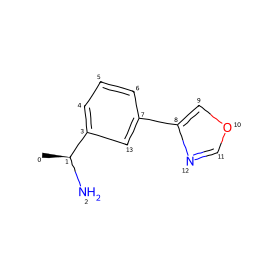 C[C@H](N)c1cccc(-c2cocn2)c1